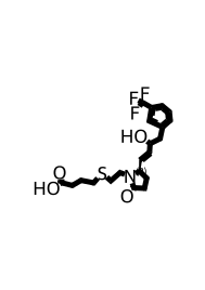 O=C(O)CCCSCCN1C(=O)CC[C@@H]1C=CC(O)Cc1cccc(C(F)(F)F)c1